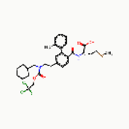 CSCC[C@H](NC(=O)c1ccc(CCN(CC2CCCCC2)C(=O)OCC(Cl)(Cl)Cl)cc1-c1ccccc1C)C(=O)O